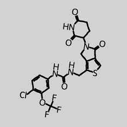 O=C1CCC(N2Cc3c(csc3CNC(=O)Nc3ccc(Cl)c(OC(F)(F)F)c3)C2=O)C(=O)N1